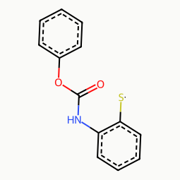 O=C(Nc1ccccc1[S])Oc1ccccc1